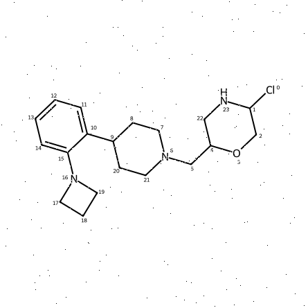 ClC1COC(CN2CCC(c3ccccc3N3CCC3)CC2)CN1